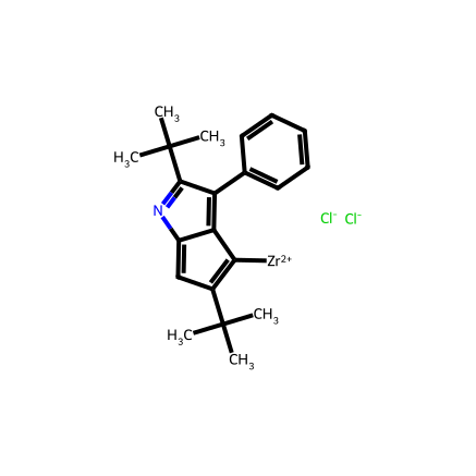 CC(C)(C)C1=NC2=CC(C(C)(C)C)=[C]([Zr+2])C2=C1c1ccccc1.[Cl-].[Cl-]